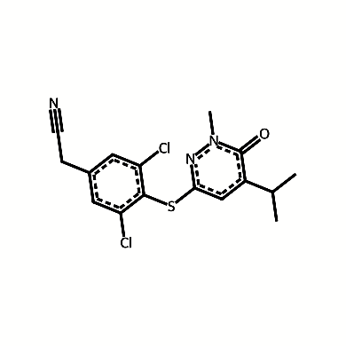 CC(C)c1cc(Sc2c(Cl)cc(CC#N)cc2Cl)nn(C)c1=O